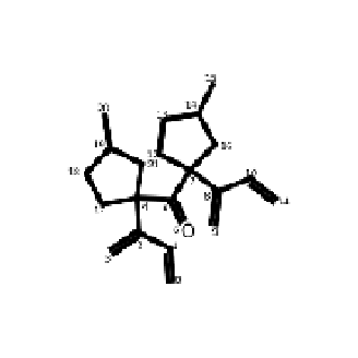 C=CC(=C)C1(C(=O)C2(C(=C)C=C)CCC(C)C2)CCC(C)C1